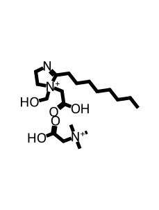 CCCCCCCCC1=NCC[N+]1(CO)CC(=O)O.C[N+](C)(C)CC(=O)O